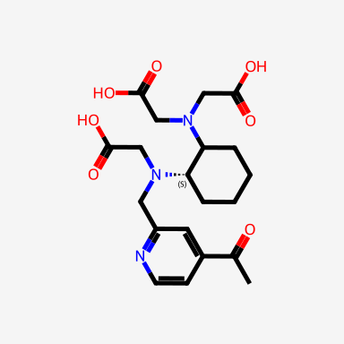 CC(=O)c1ccnc(CN(CC(=O)O)[C@H]2CCCCC2N(CC(=O)O)CC(=O)O)c1